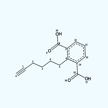 C#CCCCCc1c(C(=O)O)cccc1C(=O)O